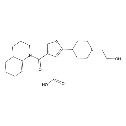 O=C(c1csc(C2CCN(CCO)CC2)c1)N1CCCC2CCCC=C21.O=CO